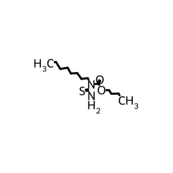 CCCCCCCCN(C(=O)OCCCC)C(N)=S